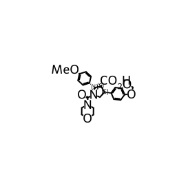 COc1ccc([C@@H]2[C@@H](C(=O)O)[C@@H](c3ccc4c(c3)OCO4)CN2C(=O)N2CCOCC2)cc1